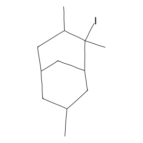 CC1CC2CC(C)C(C)(I)C(C1)C2